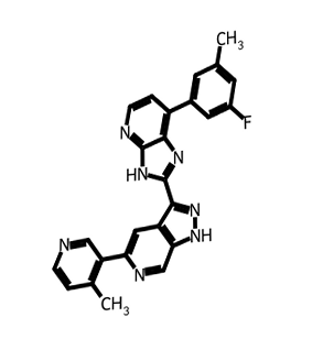 Cc1cc(F)cc(-c2ccnc3[nH]c(-c4n[nH]c5cnc(-c6cnccc6C)cc45)nc23)c1